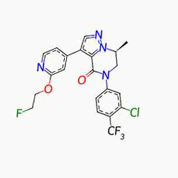 C[C@H]1CN(c2ccc(C(F)(F)F)c(Cl)c2)C(=O)c2c(-c3ccnc(OCCF)c3)cnn21